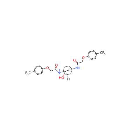 O=C(COc1ccc(C(F)(F)F)cc1)NC12CCC(NC(=O)COc3ccc(C(F)(F)F)cc3)(CC1)[C@H](O)C2